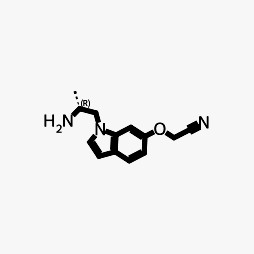 C[C@@H](N)Cn1ccc2ccc(OCC#N)cc21